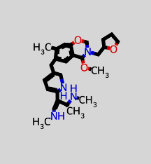 CN/C=C(/C1=CC=C(Cc2cc3c(cc2C)OCN(CC2CCCO2)C3OC)CN1)C(C)NC